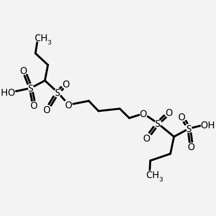 CCCC(S(=O)(=O)O)S(=O)(=O)OCCCCOS(=O)(=O)C(CCC)S(=O)(=O)O